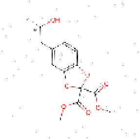 COC(=O)C1(C(=O)OC)Oc2ccc(C[C@H](C)O)cc2O1